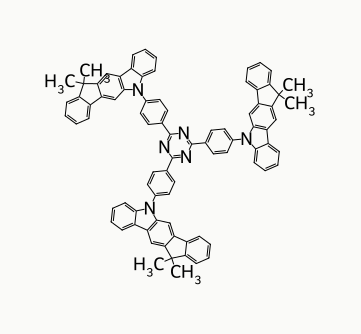 CC1(C)c2ccccc2-c2cc3c(cc21)c1ccccc1n3-c1ccc(-c2nc(-c3ccc(-n4c5ccccc5c5cc6c(cc54)-c4ccccc4C6(C)C)cc3)nc(-c3ccc(-n4c5ccccc5c5cc6c(cc54)-c4ccccc4C6(C)C)cc3)n2)cc1